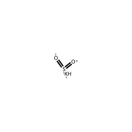 O=S=O.[KH]